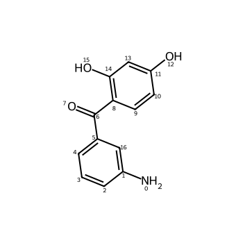 Nc1cccc(C(=O)c2ccc(O)cc2O)c1